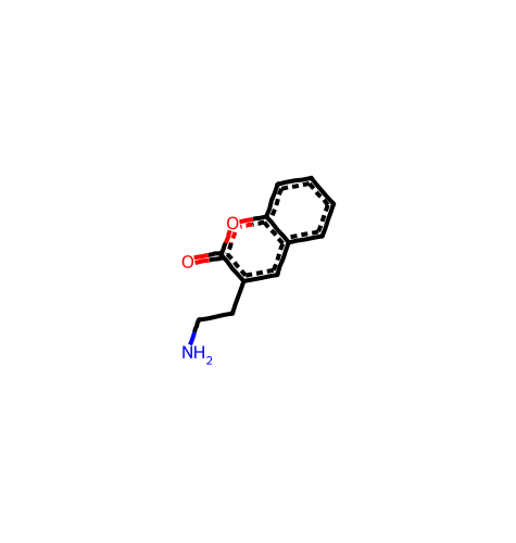 NCCc1cc2ccccc2oc1=O